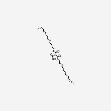 CCCCCCCCCCCCCC(=O)C(C(N)=O)C(=O)CCCCCCCCCCCCC